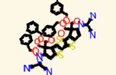 N#CC(C#N)=NC1=Cc2sc3c(sc4c5c(sc43)C=C(N=C(C#N)C#N)C5(C(=O)OCc3ccccc3)C(=O)OCc3ccccc3)c2C1(C(=O)OCc1ccccc1)C(=O)OCc1ccccc1